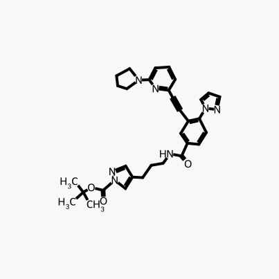 CC(C)(C)OC(=O)n1cc(CCCNC(=O)c2ccc(-n3cccn3)c(C#Cc3cccc(N4CCCC4)n3)c2)cn1